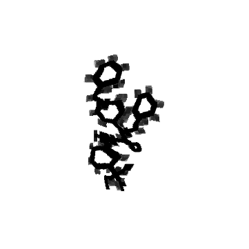 O=C(Nc1cccc(C(F)(F)F)c1)N(Cc1ccccc1)C1CCN(Cc2ccccc2)CC1